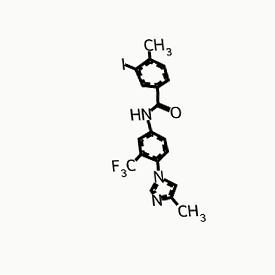 Cc1cn(-c2ccc(NC(=O)c3ccc(C)c(I)c3)cc2C(F)(F)F)cn1